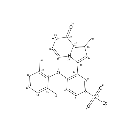 CCS(=O)(=O)c1ccc(Oc2c(C)cccc2C)c(-c2cc(C)c3c(=O)[nH]ccn23)c1